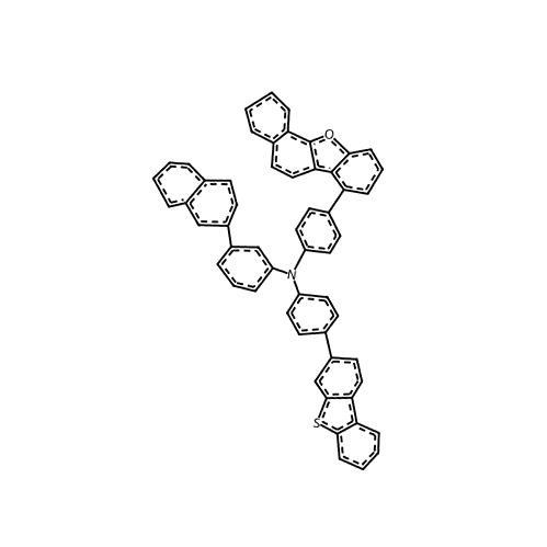 c1cc(-c2ccc3ccccc3c2)cc(N(c2ccc(-c3ccc4c(c3)sc3ccccc34)cc2)c2ccc(-c3cccc4oc5c6ccccc6ccc5c34)cc2)c1